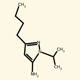 CCCCc1cc(N)n(C(C)C)n1